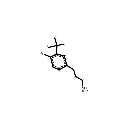 CC(C)(C)c1cc(CCCN)ccc1F